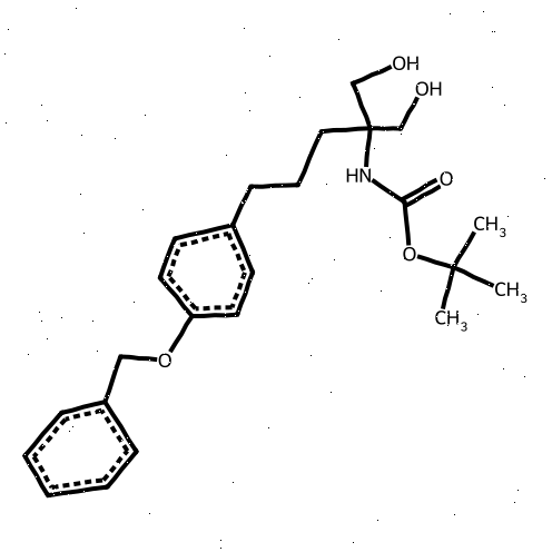 CC(C)(C)OC(=O)NC(CO)(CO)CCCc1ccc(OCc2ccccc2)cc1